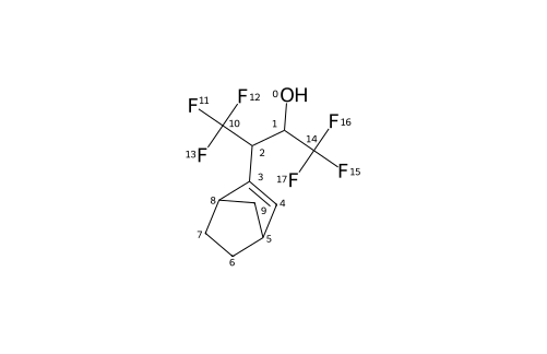 OC(C(C1=CC2CCC1C2)C(F)(F)F)C(F)(F)F